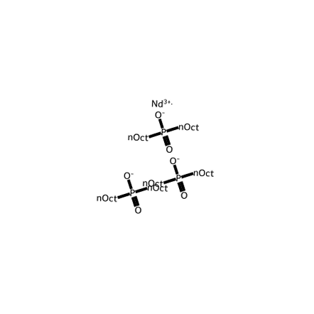 CCCCCCCCP(=O)([O-])CCCCCCCC.CCCCCCCCP(=O)([O-])CCCCCCCC.CCCCCCCCP(=O)([O-])CCCCCCCC.[Nd+3]